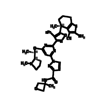 CCCc1c(-c2nc(O[C@@H](C)[C@@H]3CCCN3C)cc(-n3ccc(C(=O)NC4(C)COC4)n3)n2)noc1[C@@]1(C)CCCc2sc(N)c(C#N)c21